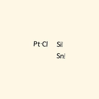 [Cl].[Pt].[Si].[Sn]